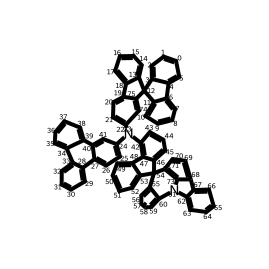 c1ccc2c(c1)-c1ccccc1C21c2ccccc2-c2ccc(N(c3ccc4c5ccccc5c5ccccc5c4c3)c3cccc4c3-c3ccccc3C43c4ccccc4-n4c5ccccc5c5cccc3c54)cc21